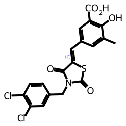 Cc1cc(/C=C2\SC(=O)N(Cc3ccc(Cl)c(Cl)c3)C2=O)cc(C(=O)O)c1O